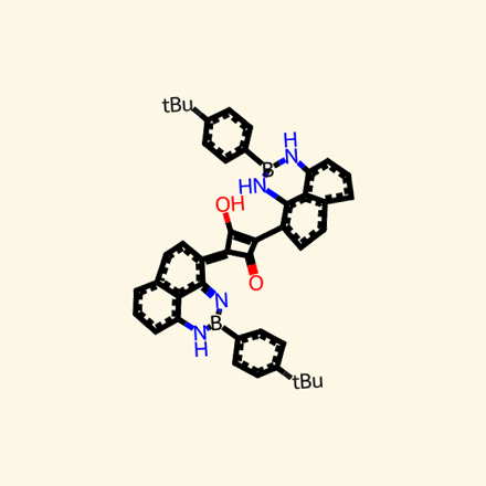 CC(C)(C)c1ccc(B2N=c3/c(=C4\C(=O)C(c5ccc6cccc7c6c5NB(c5ccc(C(C)(C)C)cc5)N7)=C4O)ccc4cccc(c34)N2)cc1